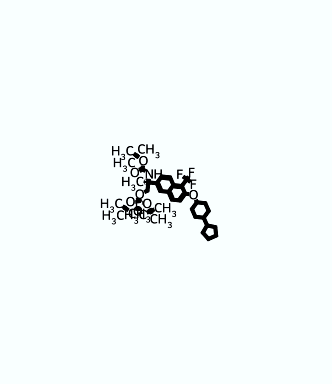 CC(C)(C)OC(=O)N[C@@](C)(COP(=O)(OC(C)(C)C)OC(C)(C)C)c1ccc2c(C(F)(F)F)c(OC3CCC(C4CCCC4)CC3)ccc2c1